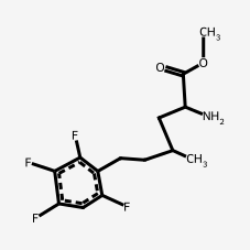 COC(=O)C(N)CC(C)CCc1c(F)cc(F)c(F)c1F